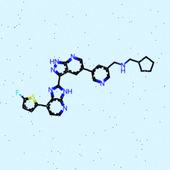 Fc1ccc(-c2ccnc3[nH]c(-c4n[nH]c5ncc(-c6cncc(CNCC7CCCC7)c6)cc45)nc23)s1